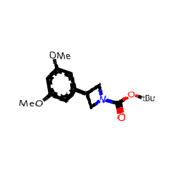 COc1cc(OC)cc(C2CN(C(=O)OC(C)(C)C)C2)c1